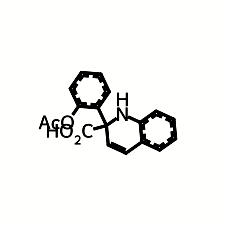 CC(=O)Oc1ccccc1C1(C(=O)O)C=Cc2ccccc2N1